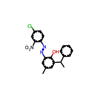 Cc1cc(/N=N/c2ccc(Cl)cc2[N+](=O)[O-])c(O)c(C(C)c2ccccc2)c1